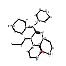 CCCN(C(=NN1CCNCC1)N(N1CCNCC1)N1CCNCC1)N1CCNCC1